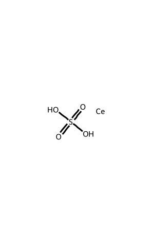 O=S(=O)(O)O.[Ce]